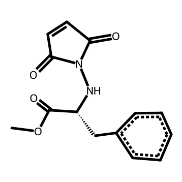 COC(=O)[C@@H](Cc1ccccc1)NN1C(=O)C=CC1=O